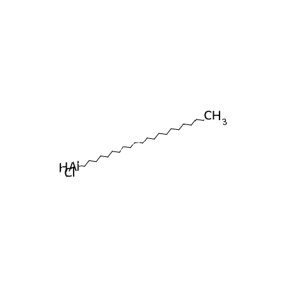 CCCCCCCCCCCCCCCCCCCCC[CH2][AlH][Cl]